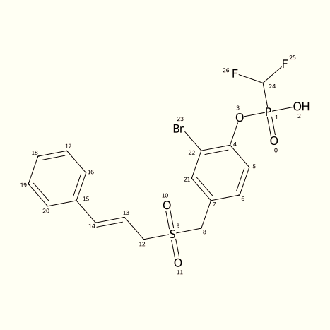 O=P(O)(Oc1ccc(CS(=O)(=O)CC=Cc2ccccc2)cc1Br)C(F)F